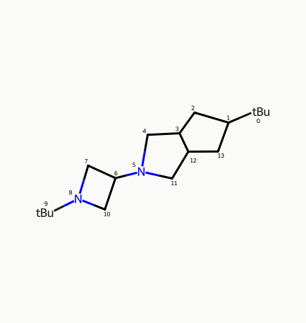 CC(C)(C)C1CC2CN(C3CN(C(C)(C)C)C3)CC2C1